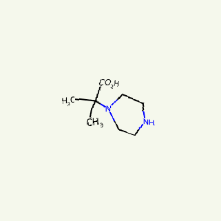 CC(C)(C(=O)O)N1CCNCC1